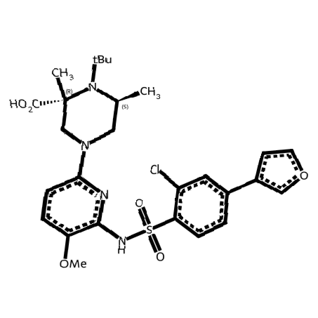 COc1ccc(N2C[C@H](C)N(C(C)(C)C)[C@@](C)(C(=O)O)C2)nc1NS(=O)(=O)c1ccc(-c2ccoc2)cc1Cl